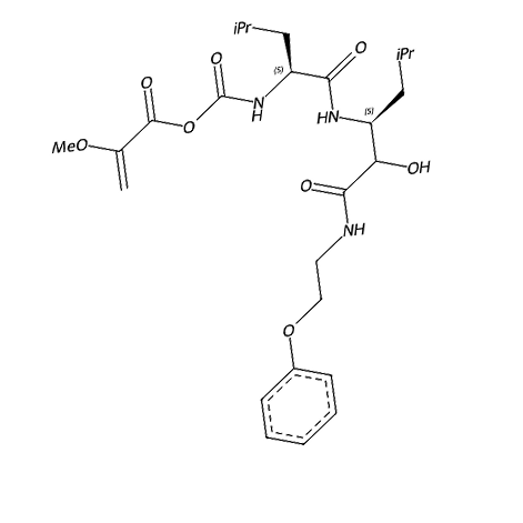 C=C(OC)C(=O)OC(=O)N[C@@H](CC(C)C)C(=O)N[C@@H](CC(C)C)C(O)C(=O)NCCOc1ccccc1